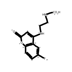 O=C(O)NCCNc1cc(=O)oc2ccc(F)cc12